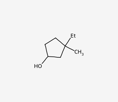 CCC1(C)CCC(O)C1